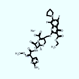 CCOC(=O)c1c(SCC2=C(C(=O)[O-])N3C(=O)[C@@H](NC(=O)/C(=N\OC)c4csc(N)n4)[C@@H]3SC2)sc2c(F)c(N3CCCC3)c(F)cc2c1=O.[Na+]